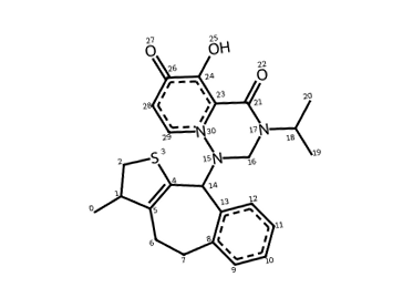 CC1CSC2=C1CCc1ccccc1C2N1CN(C(C)C)C(=O)c2c(O)c(=O)ccn21